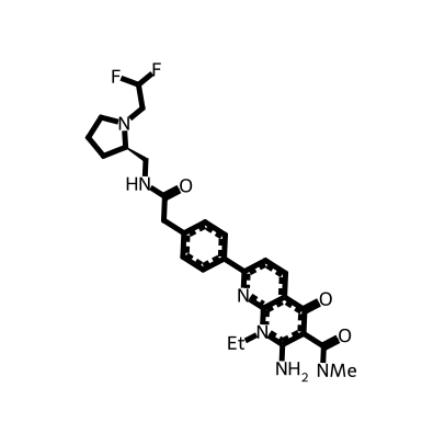 CCn1c(N)c(C(=O)NC)c(=O)c2ccc(-c3ccc(CC(=O)NC[C@H]4CCCN4CC(F)F)cc3)nc21